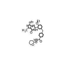 CCCc1nc(C)c2c(=O)[nH]c(-c3cc(Cc4ccc(C(=O)NOC5CCCCO5)cc4)ccc3OCC)nn12